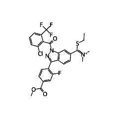 CCSC(c1ccc2c(-c3ccc(C(=O)OC)cc3F)nn(C(=O)c3c(Cl)cccc3C(F)(F)F)c2c1)=[N+](C)C